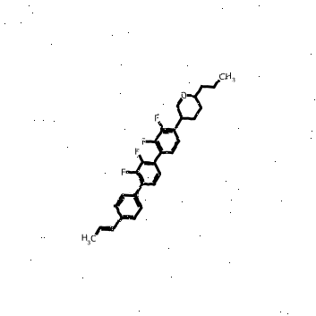 C/C=C/c1ccc(-c2ccc(-c3ccc(C4CCC(CCC)OC4)c(F)c3F)c(F)c2F)cc1